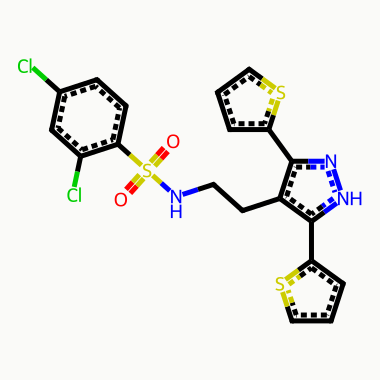 O=S(=O)(NCCc1c(-c2cccs2)n[nH]c1-c1cccs1)c1ccc(Cl)cc1Cl